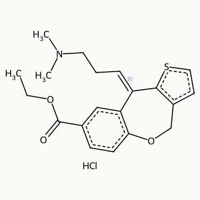 CCOC(=O)c1ccc2c(c1)/C(=C\CCN(C)C)c1sccc1CO2.Cl